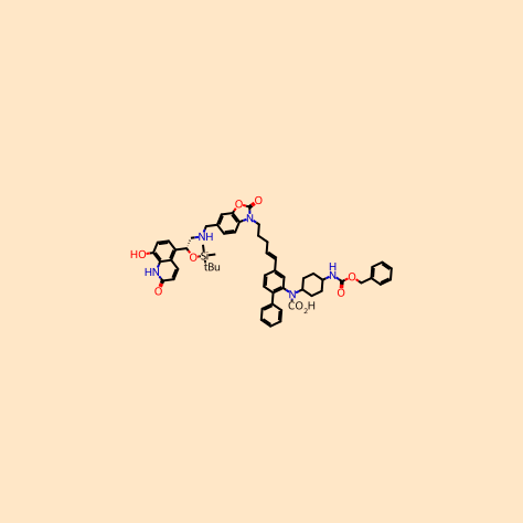 CC(C)(C)[Si](C)(C)O[C@@H](CNCc1ccc2c(c1)oc(=O)n2CCC/C=C/c1ccc(-c2ccccc2)c(N(C(=O)O)C2CCC(NC(=O)OCc3ccccc3)CC2)c1)c1ccc(O)c2[nH]c(=O)ccc12